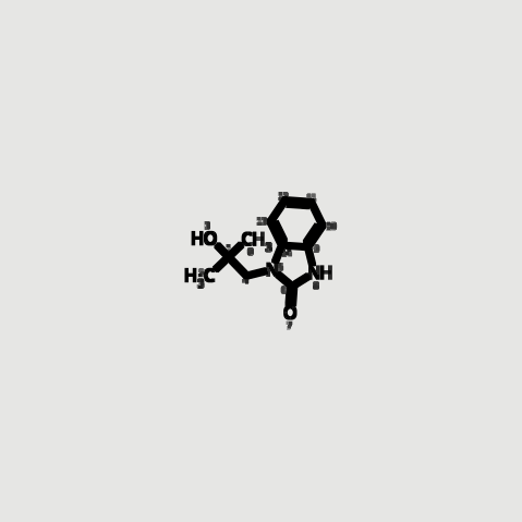 CC(C)(O)Cn1c(=O)[nH]c2ccccc21